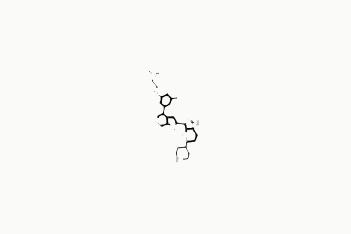 CN(C)CCNc1cc(F)cc(-c2cncc3[nH]c(-c4n[nH]c5ccc(C6CCNCC6)nc45)cc23)c1